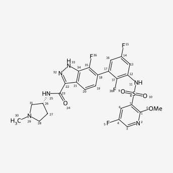 COc1ncc(F)cc1S(=O)(=O)Nc1cc(F)cc(-c2ccc3c(C(=O)N[C@@H]4CCN(C)C4)n[nH]c3c2F)c1F